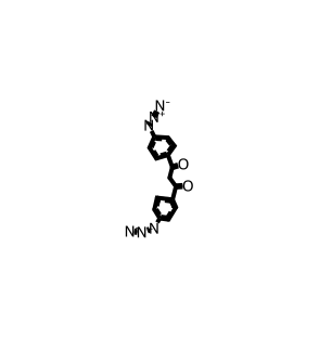 [N-]=[N+]=Nc1ccc(C(=O)CC(=O)c2ccc(N=[N+]=[N-])cc2)cc1